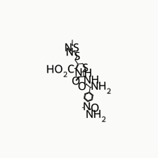 Cc1nnc(SCC2=C(C(=O)O)N3C(=O)C(NC(=O)C(N)c4ccc(N(C)C(N)=O)cc4)[C@@H]3SC2)s1